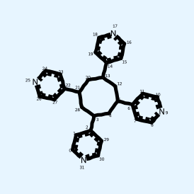 c1cc(C2CC(c3ccncc3)CC(c3ccncc3)CC(c3ccncc3)C2)ccn1